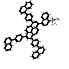 C[Si](C)(C)c1ccc(-c2cc(-c3ccc(-c4cccc5ccccc45)cc3)c3ccc4c(-c5ccc(-c6cccc7ccccc67)cc5)cc(-c5ccc(-c6cccc7ccccc67)cc5)c5ccc2c3c45)c2ccccc12